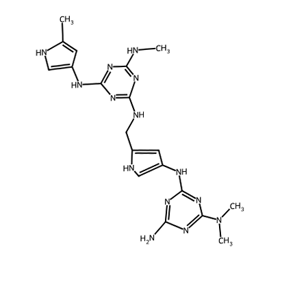 CNc1nc(NCc2cc(Nc3nc(N)nc(N(C)C)n3)c[nH]2)nc(Nc2c[nH]c(C)c2)n1